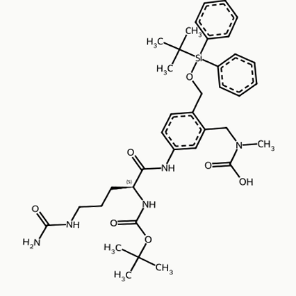 CN(Cc1cc(NC(=O)[C@H](CCCNC(N)=O)NC(=O)OC(C)(C)C)ccc1CO[Si](c1ccccc1)(c1ccccc1)C(C)(C)C)C(=O)O